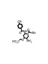 CCCCC(=O)N1CC(N)C(OCC(=O)O)CC1NC(=O)c1ccc(C#N)cc1